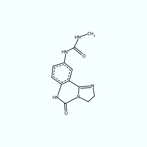 CNC(=O)Nc1ccc2c(c1)C1=NCCN1C(=O)N2